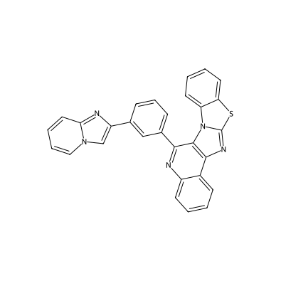 c1cc(-c2cn3ccccc3n2)cc(-c2nc3ccccc3c3nc4sc5ccccc5n4c23)c1